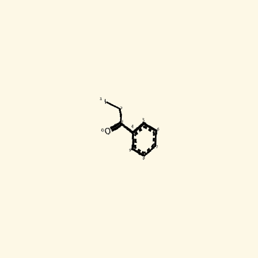 O=C(CI)c1ccccc1